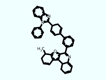 CC1CC=Cc2c1oc1c2C2CC=CC=C2N=C1c1cccc(C2=CCC(c3nc4ccccc4n3-c3ccccc3)C=C2)c1